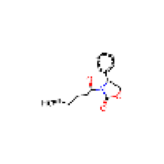 C#CCCCC(=O)N1C(=O)OC[C@@H]1c1ccccc1